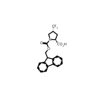 O=C(O)[C@@H]1C[C@@H](C(F)(F)F)CN1C(=O)OCC1c2ccccc2-c2ccccc21